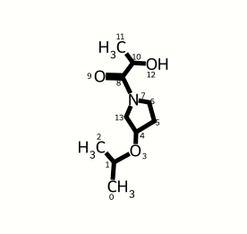 CC(C)OC1CCN(C(=O)C(C)O)C1